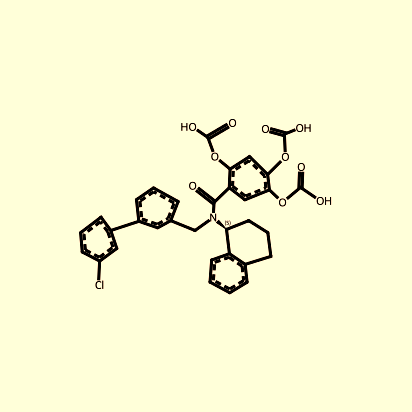 O=C(O)Oc1cc(OC(=O)O)c(C(=O)N(Cc2cccc(-c3cccc(Cl)c3)c2)[C@H]2CCCc3ccccc32)cc1OC(=O)O